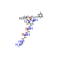 CCOC(=O)C(CCc1ccccc1)N[C@@H](CCCCNC(=O)CCNC(=O)CCCNCN)C(=O)N1CCCC1C(=O)O